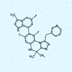 Cc1c[nH]c2c(-c3c(F)cc4c(c3F)-n3c(Cc5cccnc5)nnc3C(C)(C)N4)cc(F)cc12